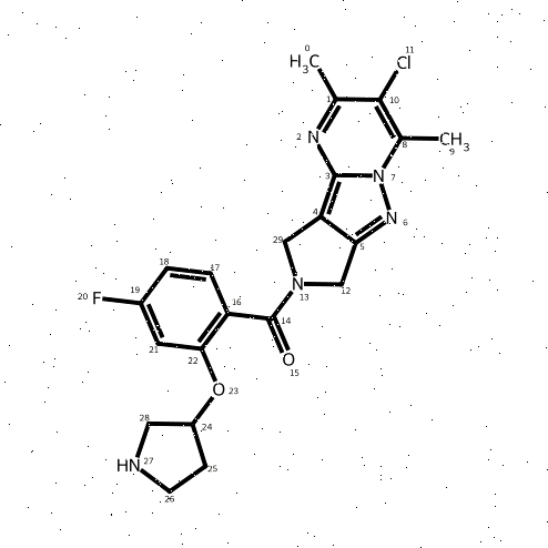 Cc1nc2c3c(nn2c(C)c1Cl)CN(C(=O)c1ccc(F)cc1OC1CCNC1)C3